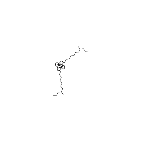 CCCC(C)CCCCCCCOS(=O)(=O)OCCCCCCCC(C)CCC